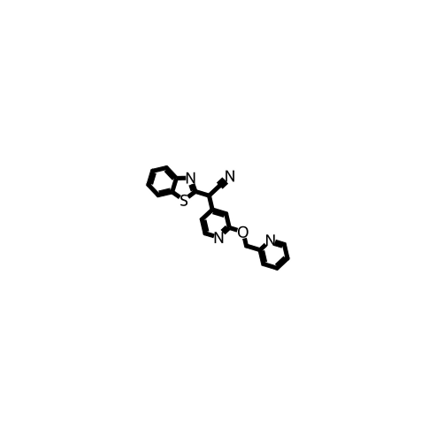 N#CC(c1ccnc(OCc2ccccn2)c1)c1nc2ccccc2s1